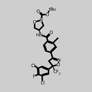 Cc1cc(C2=NO[C@@](c3cc(Cl)c(F)c(Cl)c3)(C(F)(F)F)C2)ccc1C(=O)N[C@H]1CON(C(=O)OC(C)(C)C)C1